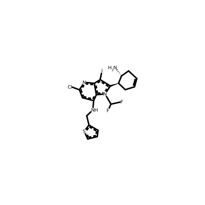 N[C@@H]1CC=CC[C@H]1c1c(I)c2nc(Cl)cc(NCc3cccs3)c2n1C(F)F